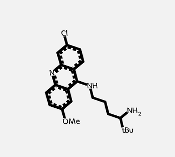 COc1ccc2nc3cc(Cl)ccc3c(NCCCC(N)C(C)(C)C)c2c1